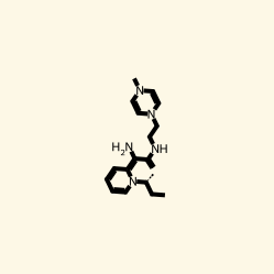 C=C(NCCN1C=CN(C)C=C1)/C(N)=C1/C=CC=CN1[C@H](C)CC